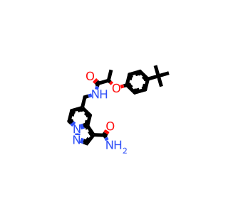 CC(Oc1ccc(C(C)(C)C)cc1)C(=O)NCc1ccn2ncc(C(N)=O)c2c1